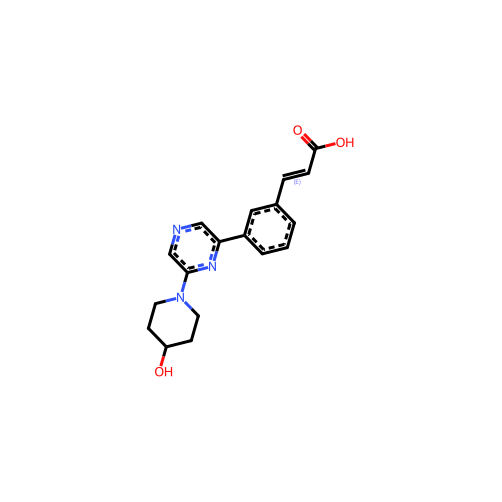 O=C(O)/C=C/c1cccc(-c2cncc(N3CCC(O)CC3)n2)c1